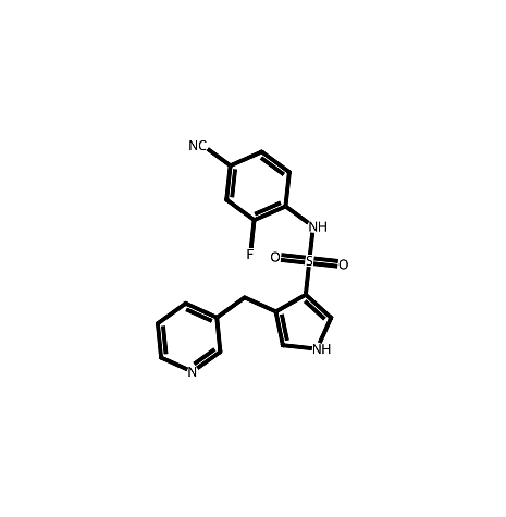 N#Cc1ccc(NS(=O)(=O)c2c[nH]cc2Cc2cccnc2)c(F)c1